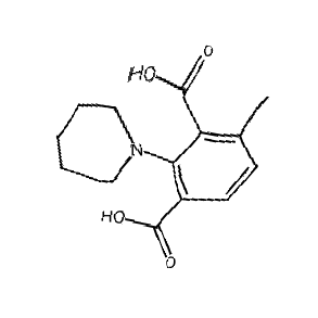 Cc1ccc(C(=O)O)c(N2CCCCC2)c1C(=O)O